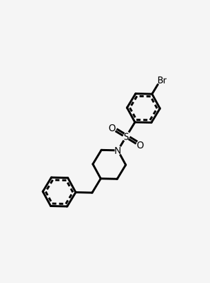 O=S(=O)(c1ccc(Br)cc1)N1CCC(Cc2ccccc2)CC1